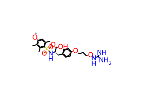 COc1cc(C)c(S(=O)(=O)N[C@@H](Cc2ccc(OCCCONC(=N)N)cc2)C(=O)O)c(C)c1C